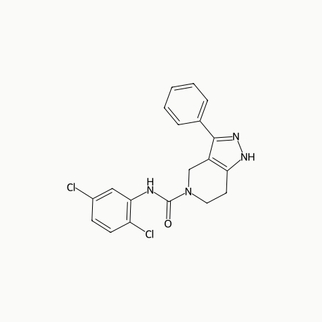 O=C(Nc1cc(Cl)ccc1Cl)N1CCc2[nH]nc(-c3ccccc3)c2C1